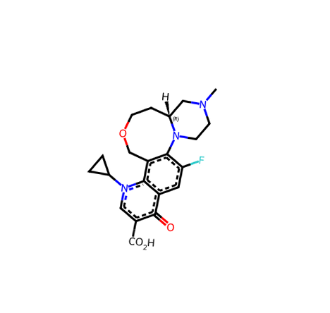 CN1CCN2c3c(F)cc4c(=O)c(C(=O)O)cn(C5CC5)c4c3COCC[C@@H]2C1